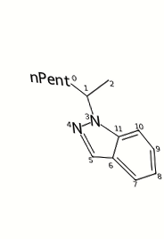 CCCCCC(C)n1ncc2ccccc21